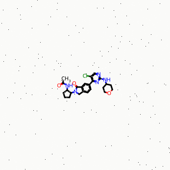 CC(=O)NC1CCCC1N1Cc2ccc(-c3nc(NC4CCOCC4)ncc3Cl)cc2C1=O